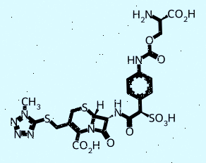 Cn1nnnc1SCC1=C(C(=O)O)N2C(=O)[C@@H](NC(=O)[C@@H](c3ccc(NC(=O)OC[C@@H](N)C(=O)O)cc3)S(=O)(=O)O)[C@H]2SC1